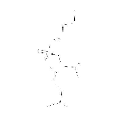 COOCOP(=O)(COC(C)C)OCOOC(C)C